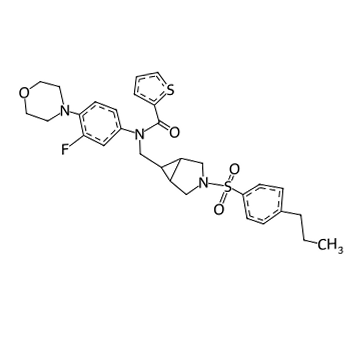 CCCc1ccc(S(=O)(=O)N2CC3C(CN(C(=O)c4cccs4)c4ccc(N5CCOCC5)c(F)c4)C3C2)cc1